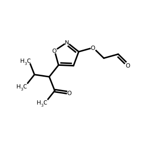 CC(=O)C(c1cc(OCC=O)no1)C(C)C